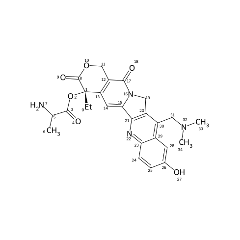 CC[C@@]1(OC(=O)C(C)N)C(=O)OCc2c1cc1n(c2=O)Cc2c-1nc1ccc(O)cc1c2CN(C)C